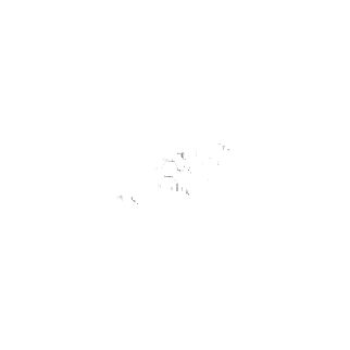 Br.Br.Cn1c(CCC2CCNCC2)nc2ccc(SCCCC(=O)O)cc21